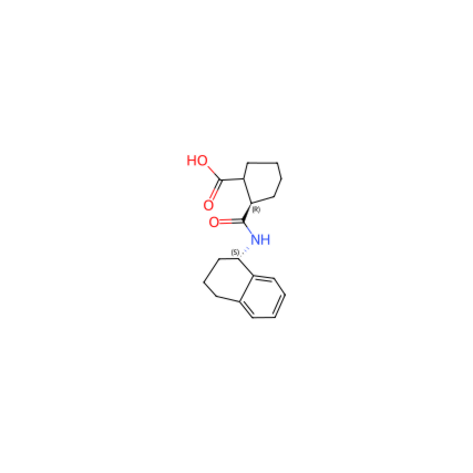 O=C(O)C1CCCC[C@H]1C(=O)N[C@H]1CCCc2ccccc21